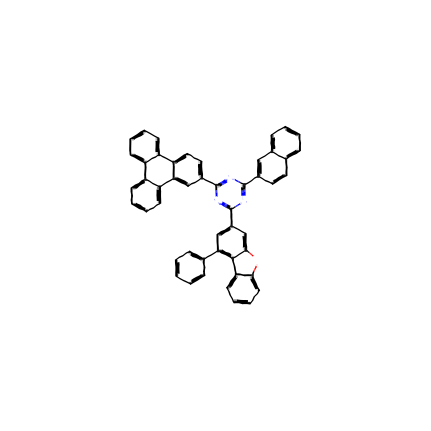 c1ccc(-c2cc(-c3nc(-c4ccc5ccccc5c4)nc(-c4ccc5c6ccccc6c6ccccc6c5c4)n3)cc3oc4ccccc4c23)cc1